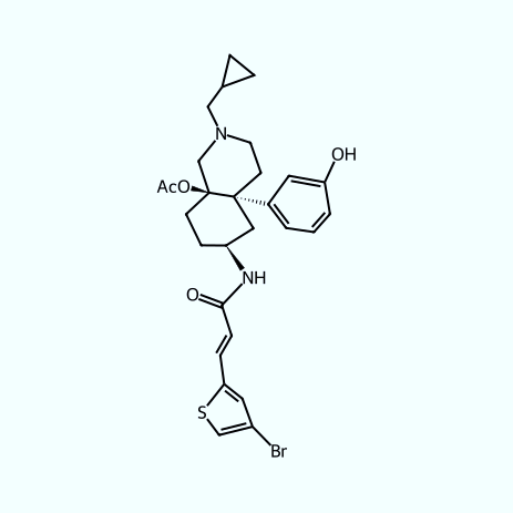 CC(=O)O[C@]12CC[C@H](NC(=O)C=Cc3cc(Br)cs3)C[C@]1(c1cccc(O)c1)CCN(CC1CC1)C2